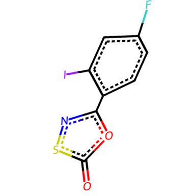 O=c1oc(-c2ccc(F)cc2I)ns1